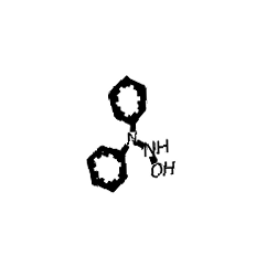 ONN(c1ccccc1)c1ccccc1